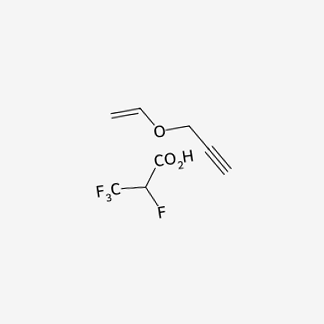 C#CCOC=C.O=C(O)C(F)C(F)(F)F